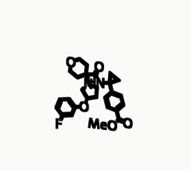 COC(=O)c1ccc(C2(NC(=O)C3(N4CC[C@@H](Oc5cccc(F)c5)C4)CCOCC3)CC2)cc1